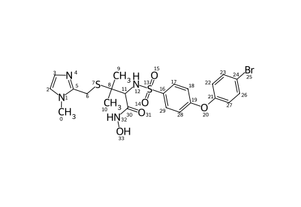 Cn1ccnc1CSC(C)(C)C(NS(=O)(=O)c1ccc(Oc2ccc(Br)cc2)cc1)C(=O)NO